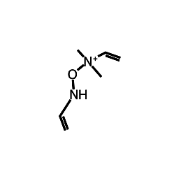 C=CNO[N+](C)(C)C=C